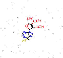 CC1(S)N=CN=C2C1=NCN2[C@@H]1O[C@H](CO)[C@@H](O)[C@H]1O